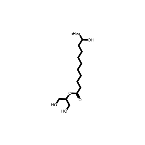 CCCCCCC(O)CCCCCCCCC(=O)OC(CO)CO